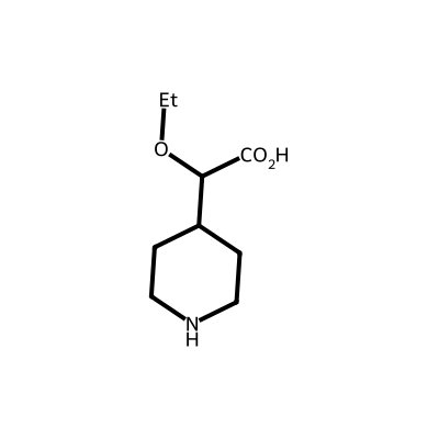 CCOC(C(=O)O)C1CCNCC1